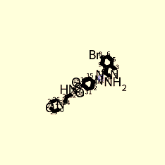 Nc1ncc2ccc(Br)cc2c1/N=N/c1ccc(S(=O)(=O)NCCCN2CCOCC2)cc1